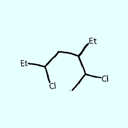 [CH2]C(Cl)C(CC)CC(Cl)CC